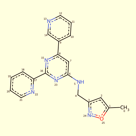 Cc1cc(CNc2cc(-c3cccnc3)nc(-c3ccccn3)n2)no1